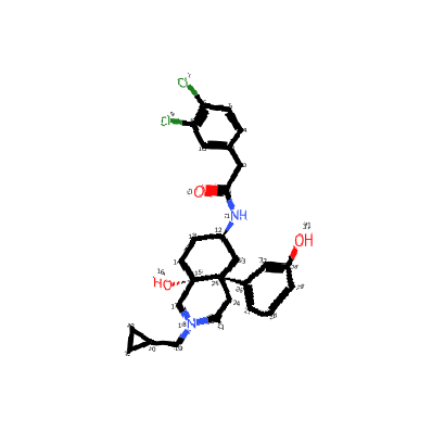 O=C(Cc1ccc(Cl)c(Cl)c1)N[C@@H]1CC[C@]2(O)CN(CC3CC3)CC[C@@]2(c2cccc(O)c2)C1